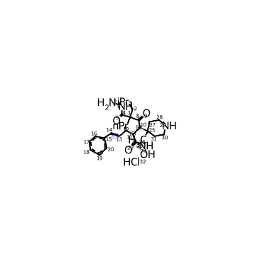 CCCC(CC(C)C)(C(=O)NN)C(=O)[C@H]([C@H](C/C=C/c1ccccc1)C(=O)NO)C1(C)CCNCC1.Cl